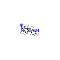 CC[C@@]1(N=[N+]=[N-])O[C@@H](n2ccc(=O)[nH]c2=O)[C@](C)(F)[C@@H]1C